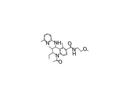 CCC1C(C)C(Nc2cccc(C)n2)c2c(ccc(C(=O)NCCOC)c2C)N1C(C)=O